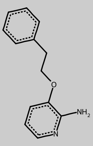 Nc1ncccc1OCCc1ccccc1